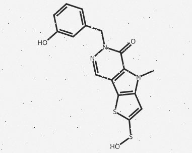 Cn1c2cc(SO)sc2c2cnn(Cc3cccc(O)c3)c(=O)c21